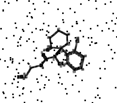 CN(C(=O)OCC(=O)O)[C@]1(c2ccccc2Cl)CCCCC1=O